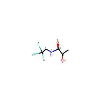 CC(O)C(=O)NCC(F)(F)F